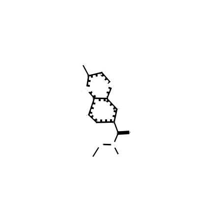 CON(C)C(=O)c1ccc2nc(Cl)cnc2c1